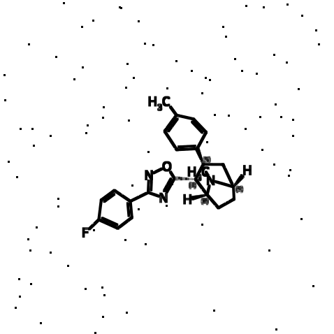 Cc1ccc([C@H]2C[C@@H]3CC[C@H]([C@@H]2c2nc(-c4ccc(F)cc4)no2)N3C)cc1